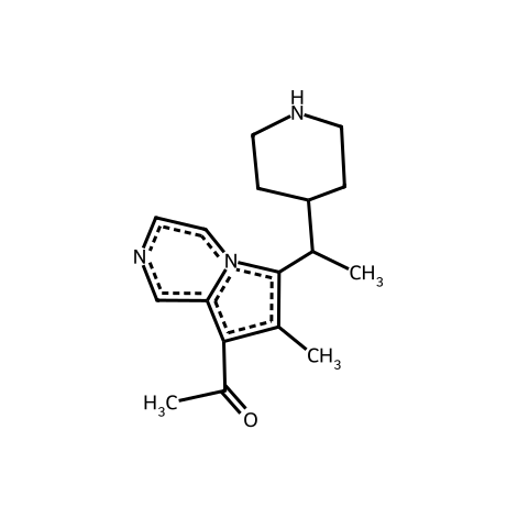 CC(=O)c1c(C)c(C(C)C2CCNCC2)n2ccncc12